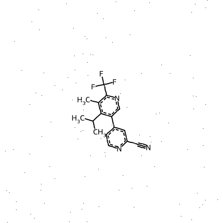 Cc1c(C(F)(F)F)ncc(-c2ccnc(C#N)c2)c1C(C)C